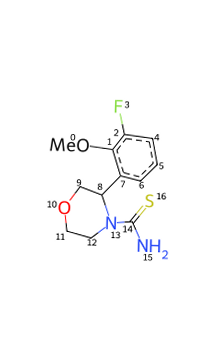 COc1c(F)cccc1C1COCCN1C(N)=S